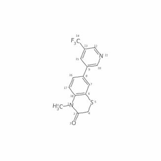 CN1C(=O)CSc2cc(-c3cncc(C(F)(F)F)c3)ccc21